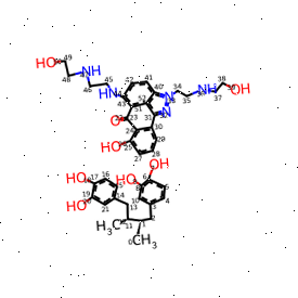 C[C@H](Cc1ccc(O)c(O)c1)[C@@H](C)Cc1ccc(O)c(O)c1.O=C1c2c(O)cccc2-c2nn(CCNCCO)c3ccc(NCCNCCO)c1c23